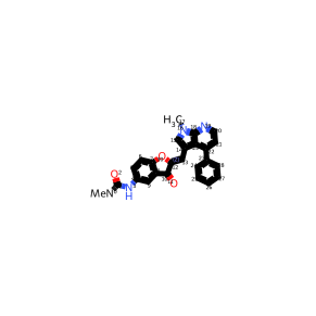 CNC(=O)Nc1ccc2c(c1)C(=O)/C(=C/c1cn(C)c3nccc(-c4ccccc4)c13)O2